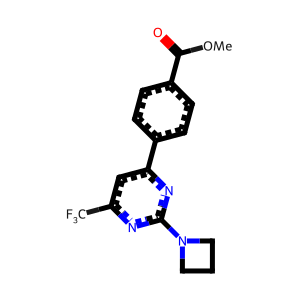 COC(=O)c1ccc(-c2cc(C(F)(F)F)nc(N3CCC3)n2)cc1